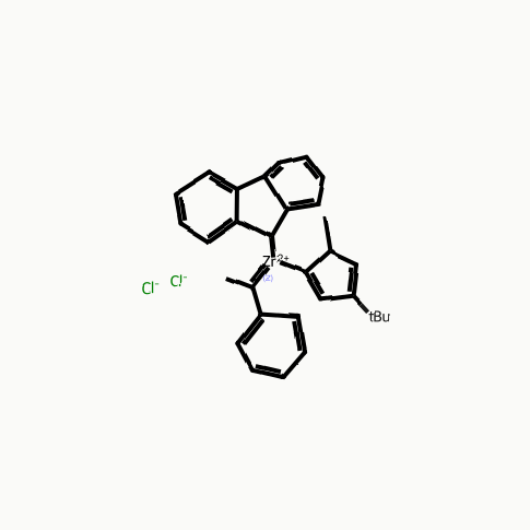 C/[C](c1ccccc1)=[Zr+2](/[C]1=CC(C(C)(C)C)=CC1C)[CH]1c2ccccc2-c2ccccc21.[Cl-].[Cl-]